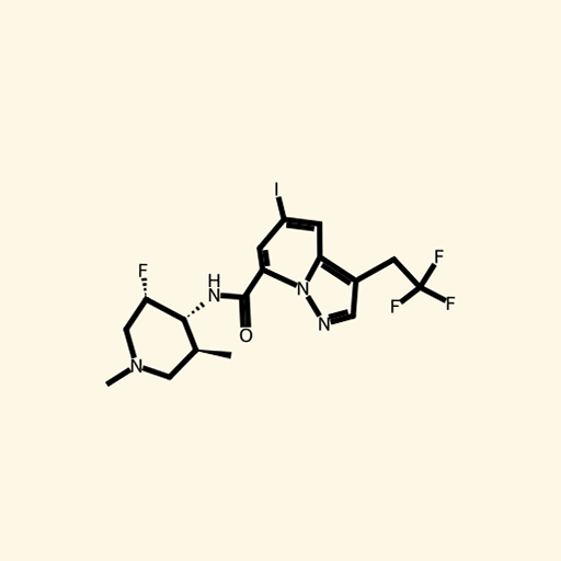 C[C@H]1CN(C)C[C@H](F)[C@@H]1NC(=O)c1cc(I)cc2c(CC(F)(F)F)cnn12